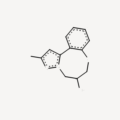 CCc1cc2n(n1)CC(O)COc1ccccc1-2